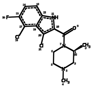 C[C@H]1CN(C)CCN1C(=O)c1[nH]c2ccc(F)c(Cl)c2c1Cl